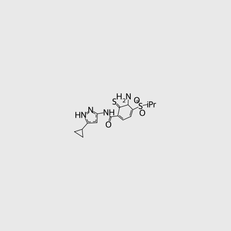 CC(C)S(=O)(=O)C1=CC=C(C(=O)Nc2cc(C3CC3)[nH]n2)C(=S)C1N